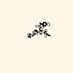 CCCNC(=O)N1CCN(c2ccnc(Cn3ccnc3)n2)C(CC(=O)NC(C)c2ccc(OC)cc2)C1